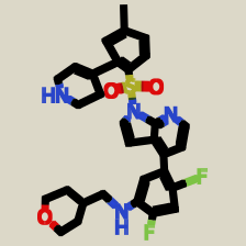 Cc1ccc(S(=O)(=O)n2ccc3c(-c4cc(NCC5CCOCC5)c(F)cc4F)ccnc32)c(C2=CCNCC2)c1